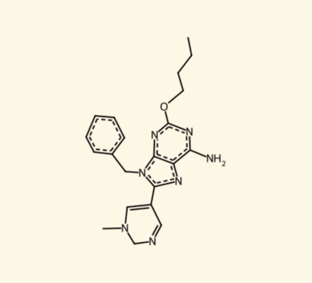 CCCCOc1nc(N)c2nc(C3=CN(C)CN=C3)n(Cc3ccccc3)c2n1